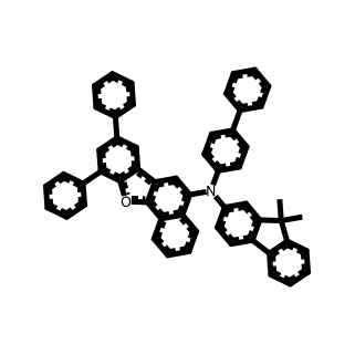 CC1(C)c2ccccc2-c2ccc(N(c3ccc(-c4ccccc4)cc3)c3cc4c5cc(-c6ccccc6)cc(-c6ccccc6)c5oc4c4ccccc34)cc21